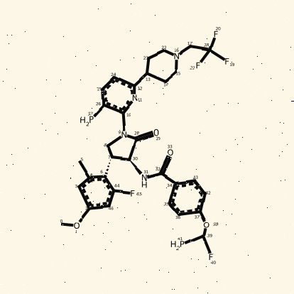 COc1cc(C)c([C@@H]2CN(c3nc(C4CCN(CC(F)(F)F)CC4)ccc3P)C(=O)[C@H]2NC(=O)c2ccc(OC(F)P)cc2)c(F)c1